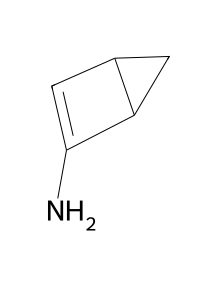 NC1=CC2CC12